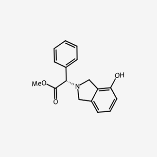 COC(=O)[C@H](c1ccccc1)N1Cc2cccc(O)c2C1